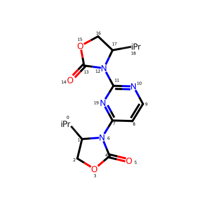 CC(C)C1COC(=O)N1c1ccnc(N2C(=O)OCC2C(C)C)n1